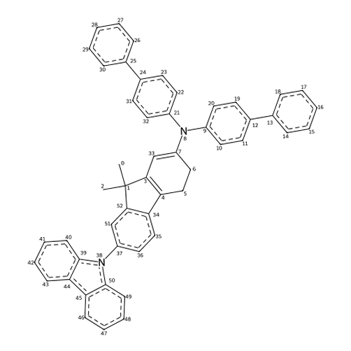 CC1(C)C2=C(CCC(N(c3ccc(-c4ccccc4)cc3)c3ccc(-c4ccccc4)cc3)=C2)c2ccc(-n3c4ccccc4c4ccccc43)cc21